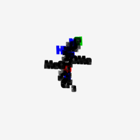 COC1=CC(OCc2ccc(C(F)(F)F)cn2)C(OC)C=C1c1c[nH]c(-c2ccc(Cl)nc2)n1